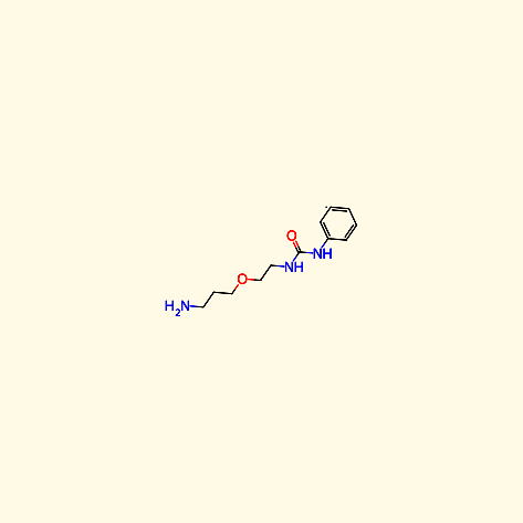 NCCCOCCNC(=O)Nc1c[c]ccc1